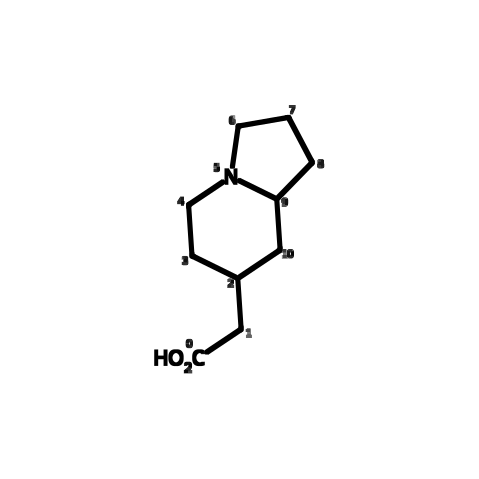 O=C(O)CC1CCN2CCCC2C1